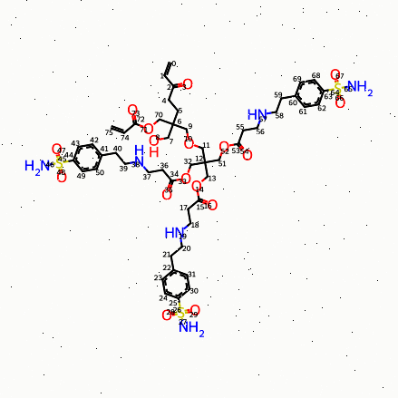 C=CC(=O)CCC(CO)(COCC(COC(=O)CCNCCc1ccc(S(N)(=O)=O)cc1)(COC(=O)CCNCCc1ccc(S(N)(=O)=O)cc1)COC(=O)CCNCCc1ccc(S(N)(=O)=O)cc1)COC(=O)C=C